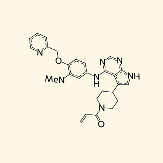 C=CC(=O)N1CCC(c2c[nH]c3ncnc(Nc4ccc(OCc5ccccn5)c(NC)c4)c23)CC1